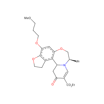 CCOC(=O)C1=CN2C(CC1=O)c1c(cc(OCCCOC)c3c1CCO3)OC[C@H]2C(C)C